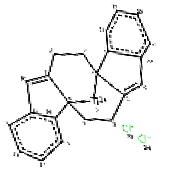 C1=C2CC[C]34[Ti+2][C]2(CCC3=Cc2ccccc24)c2ccccc21.[Cl-].[Cl-]